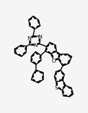 c1ccc(-c2cccc(-c3c(-c4nc(-c5ccccc5)nc(-c5ccccc5)n4)ccc4c3oc3c(-c5ccc6sc7ccccc7c6c5)cccc34)c2)cc1